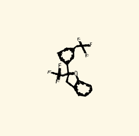 FC(F)(F)c1cccc(C2(C(F)(F)F)Cc3c[c]ccc3O2)c1